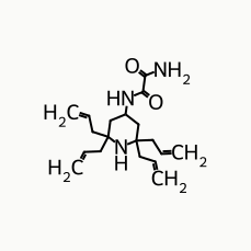 C=CCC1(CC=C)CC(NC(=O)C(N)=O)CC(CC=C)(CC=C)N1